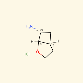 Cl.N[C@@H]1C[C@H]2CCO[C@H]21